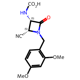 COc1ccc(CN2C(=O)[C@@H](NC(=O)O)[C@H]2C#N)c(OC)c1